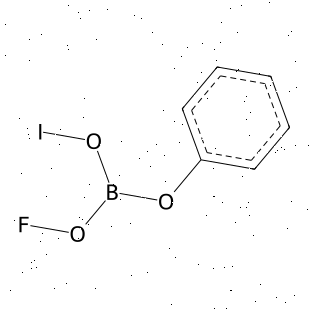 FOB(OI)Oc1ccccc1